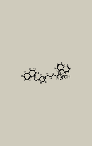 OS1(O)c2cccc3cccc(c23)N1CCCCN1CCC(Oc2cccc3ccccc23)C1